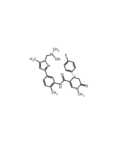 Cc1ccc(-c2cc(C)n(C[C@H](C)O)n2)cc1NC(=O)C1=CN(C)C(=O)C[C@H]1c1ccc(F)cc1